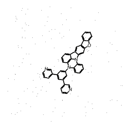 c1cncc(-c2cc(-c3cccnc3)cc(N3c4ccccc4-n4c5cc6oc7ccccc7c6cc5c5cccc3c54)c2)c1